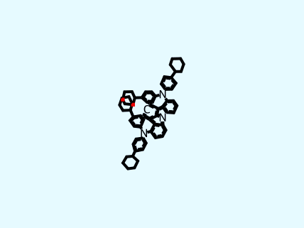 c1cc2c3c(N(c4ccc(C5CCCCC5)cc4)c4ccc(C5CCCCC5)cc4)cccc3n3c4cccc(N(c5ccc(C6CCCCC6)cc5)c5ccc(C6CCCCC6)cc5)c4c(c1)c23